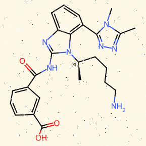 Cc1nnc(-c2cccc3nc(NC(=O)c4cccc(C(=O)O)c4)n([C@H](C)CCCCN)c23)n1C